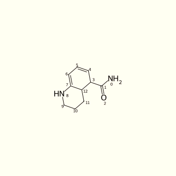 NC(=O)C1C=CC=C2NCCCC21